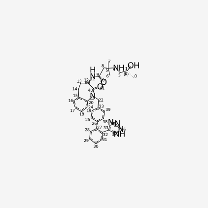 C[C@@H](O)CNC(C)(C)CC(=O)N[C@@H]1CCc2ccccc2N(Cc2ccc(-c3ccccc3-c3nnn[nH]3)cc2)C1=O